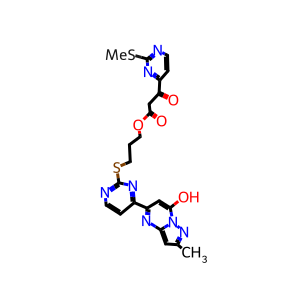 CSc1nccc(C(=O)CC(=O)OCCCSc2nccc(-c3cc(O)n4nc(C)cc4n3)n2)n1